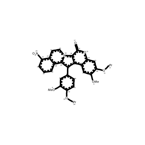 COc1cc(-c2c3c4cc(OC)c(OC(C)C)cc4oc(=O)c3n3ccc4c([N+](=O)[O-])cccc4c23)ccc1OC(C)C